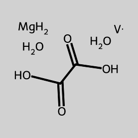 O.O.O=C(O)C(=O)O.[MgH2].[V]